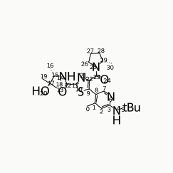 Cc1cc(NC(C)(C)C)ncc1-c1sc(C(=O)N[C@@H](C)C(C)(C)O)nc1C(=O)N1CCC[C@@H]1C